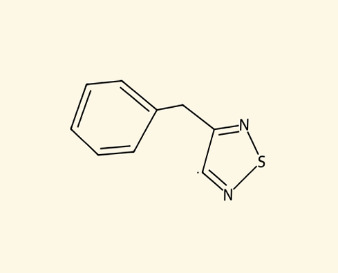 [c]1nsnc1Cc1ccccc1